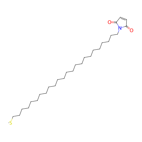 O=C1C=CC(=O)N1CCCCCCCCCCCCCCCCCCCCCCCC[S]